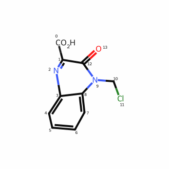 O=C(O)c1nc2ccccc2n(CCl)c1=O